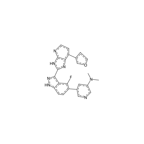 CN(C)c1cncc(-c2ccc3[nH]nc(-c4nc5c(-c6ccoc6)ccnc5[nH]4)c3c2F)c1